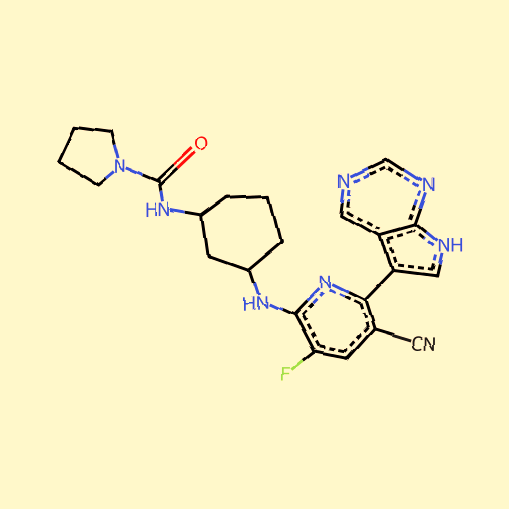 N#Cc1cc(F)c(NC2CCCC(NC(=O)N3CCCC3)C2)nc1-c1c[nH]c2ncncc12